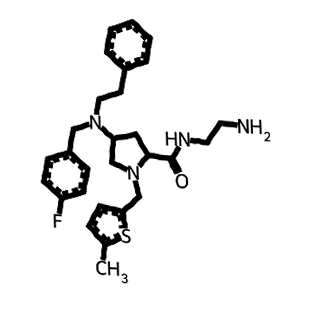 Cc1ccc(CN2CC(N(CCc3ccccc3)Cc3ccc(F)cc3)CC2C(=O)NCCN)s1